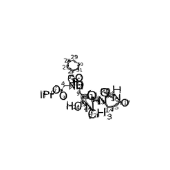 CC(C)OC(=O)CNP(=O)(OC[C@H]1O[C@@H](n2ccc(=O)[nH]c2=O)N(C)[C@@H]1O)Oc1ccccc1